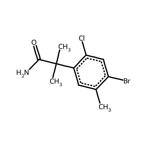 Cc1cc(C(C)(C)C(N)=O)c(Cl)cc1Br